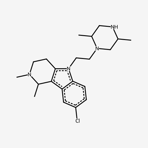 CC1CN(CCn2c3c(c4cc(Cl)ccc42)C(C)N(C)CC3)C(C)CN1